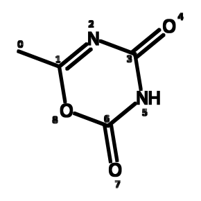 Cc1nc(=O)[nH]c(=O)o1